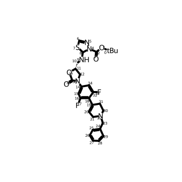 CC(C)(C)OC(=O)N1N=CSC1NC[C@@H]1CN(c2cc(F)c(C3=CCN(Cc4ccccc4)CC3)c(F)c2)C(=O)O1